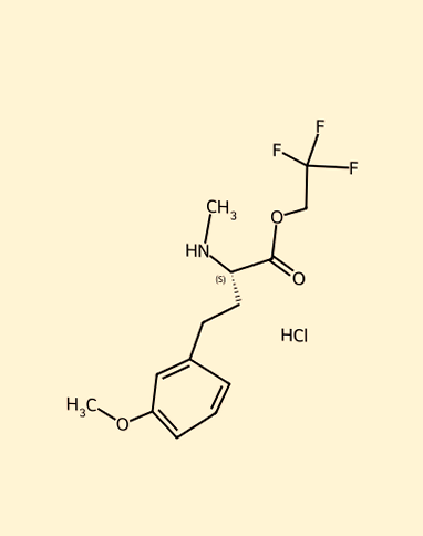 CN[C@@H](CCc1cccc(OC)c1)C(=O)OCC(F)(F)F.Cl